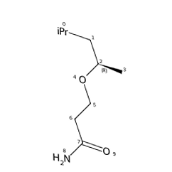 CC(C)C[C@@H](C)OCCC(N)=O